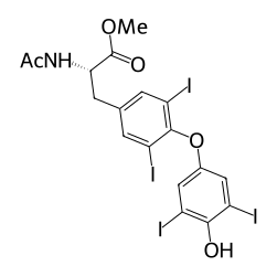 COC(=O)[C@H](Cc1cc(I)c(Oc2cc(I)c(O)c(I)c2)c(I)c1)NC(C)=O